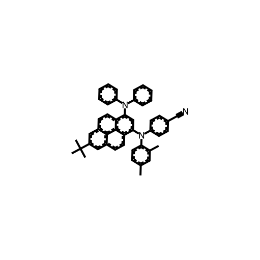 Cc1ccc(N(c2ccc(C#N)cc2)c2cc(N(c3ccccc3)c3ccccc3)c3ccc4cc(C(C)(C)C)cc5ccc2c3c45)c(C)c1